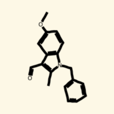 COc1ccc2c(c1)c(C=O)c(C)n2Cc1ccccc1